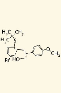 COc1ccc([C@H](CO)Cc2cc(Br)ccc2SC(C)(C)C)cc1